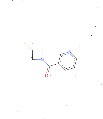 O=C(c1cc[c]nc1)N1CC(F)C1